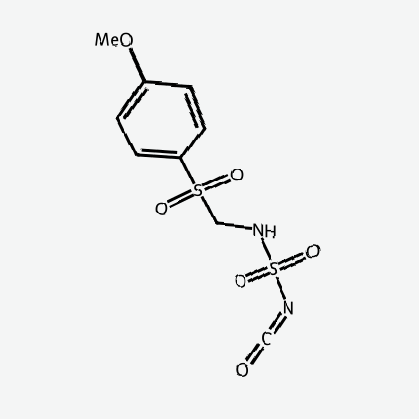 COc1ccc(S(=O)(=O)CNS(=O)(=O)N=C=O)cc1